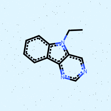 CCn1c2ccccc2c2ncncc21